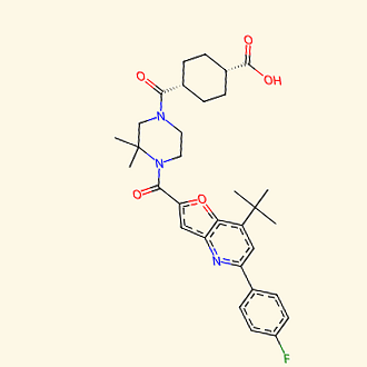 CC(C)(C)c1cc(-c2ccc(F)cc2)nc2cc(C(=O)N3CCN(C(=O)[C@H]4CC[C@@H](C(=O)O)CC4)CC3(C)C)oc12